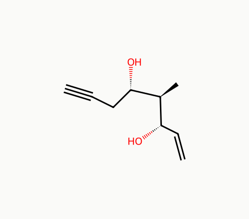 C#CC[C@H](O)[C@@H](C)[C@@H](O)C=C